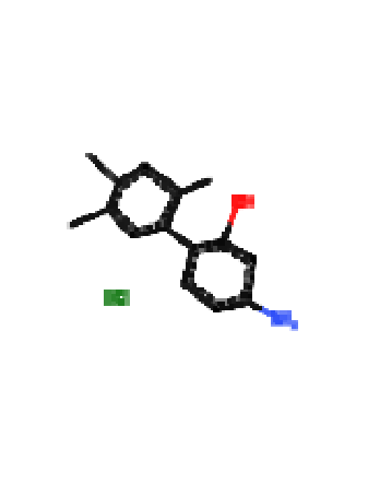 Cc1cc(C)c(-c2ccc(N)cc2O)cc1C.Cl